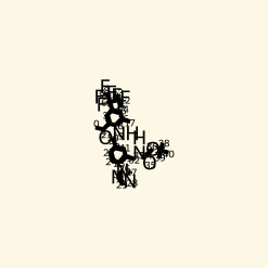 CCc1cc(C(F)(C(F)(F)F)C(F)(F)F)cc(C)c1NC(=O)c1ccc(-n2cncn2)c(CNC(=O)OC(C)(C)C)c1